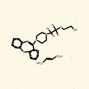 O=C(O)/C=C/C(=O)O.[2H]C([2H])(OCCO)C([2H])([2H])N1CCN(C2=Nc3ccccc3Sc3ccccc32)CC1